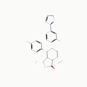 CC[C@@]12CC[C@@H](c3ccc(C4=NCC=C4)cc3Cl)[C@H](c3ccc(Cl)cc3)[C@@H]1[C@@H](CO)NC2=O